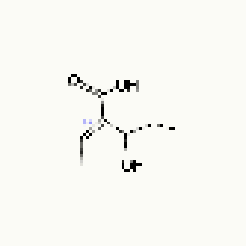 C/C=C(/C(=O)O)C(O)CC